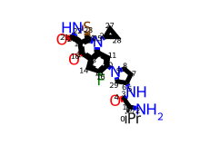 CC(C)[C@H](N)C(=O)NC1CCN(c2cc3c(cc2F)c(=O)c2c(=O)[nH]sc2n3C2CC2)C1